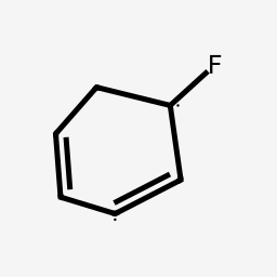 F[C]1C=[C]C=CC1